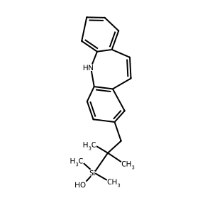 CC(C)(Cc1ccc2c(c1)C=Cc1ccccc1N2)[Si](C)(C)O